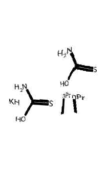 CCCC.CCCC.NC(O)=S.NC(O)=S.[KH]